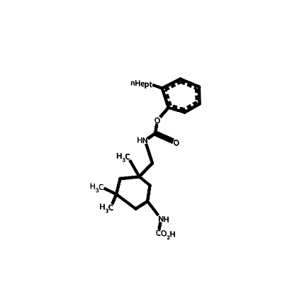 CCCCCCCc1ccccc1OC(=O)NCC1(C)CC(NC(=O)O)CC(C)(C)C1